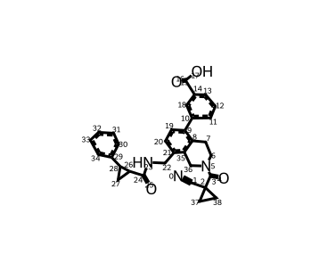 N#CC1(C(=O)N2CCc3c(-c4cccc(C(=O)O)c4)ccc(CNC(=O)C4CC4c4ccccc4)c3C2)CC1